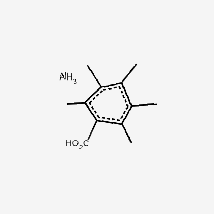 Cc1c(C)c(C)c(C(=O)O)c(C)c1C.[AlH3]